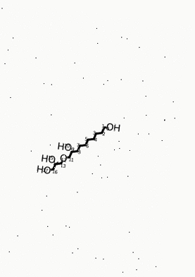 OCCCCCCCCC(O)COCC(O)CO